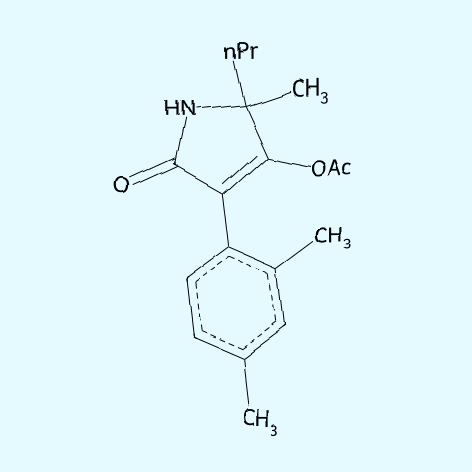 CCCC1(C)NC(=O)C(c2ccc(C)cc2C)=C1OC(C)=O